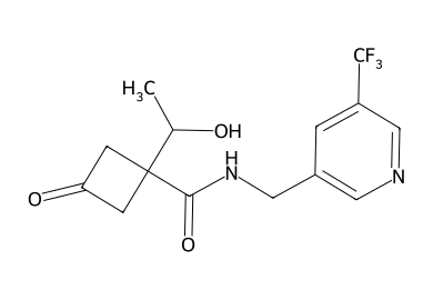 CC(O)C1(C(=O)NCc2cncc(C(F)(F)F)c2)CC(=O)C1